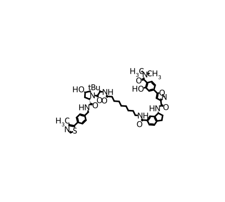 Cc1ncsc1-c1ccc(CNC(=O)[C@@H]2C[C@@H](O)CN2C(=O)C(NC(=O)CCCCCCCCNC(=O)c2ccc3c(c2)[C@H](NC(=O)c2cc(-c4ccc(C(=O)N(C)C)c(O)c4)on2)CC3)C(C)(C)C)cc1